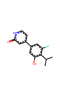 CC(C)c1c(O)cc(-c2cc[nH]c(=O)c2)cc1F